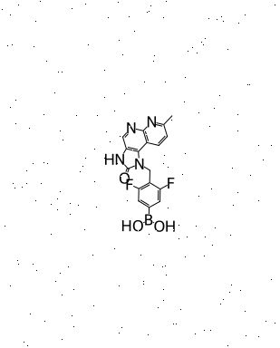 Cc1ccc2c(ncc3[nH]c(=O)n(Cc4c(F)cc(B(O)O)cc4F)c32)n1